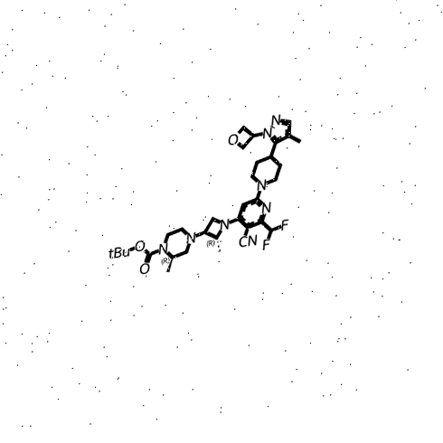 Cc1cnn(C2COC2)c1C1CCN(c2cc(N3CC(N4CCN(C(=O)OC(C)(C)C)[C@H](C)C4)[C@H]3C)c(C#N)c(C(F)F)n2)CC1